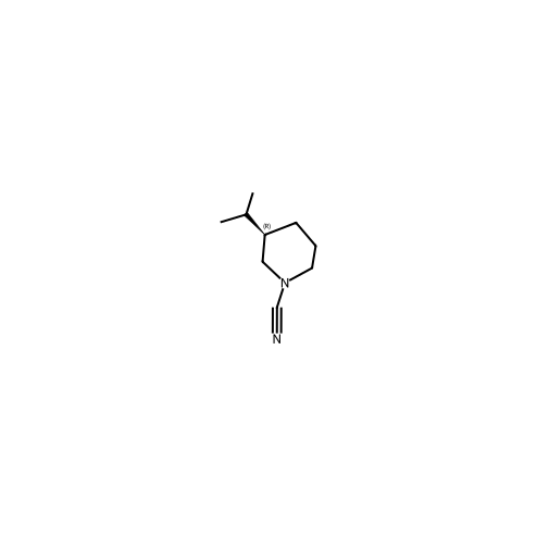 CC(C)[C@H]1CCCN(C#N)C1